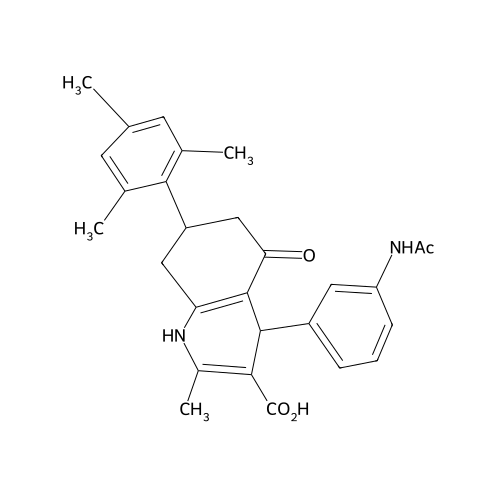 CC(=O)Nc1cccc(C2C(C(=O)O)=C(C)NC3=C2C(=O)CC(c2c(C)cc(C)cc2C)C3)c1